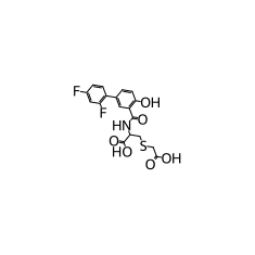 O=C(O)CSCC(NC(=O)c1cc(-c2ccc(F)cc2F)ccc1O)C(=O)O